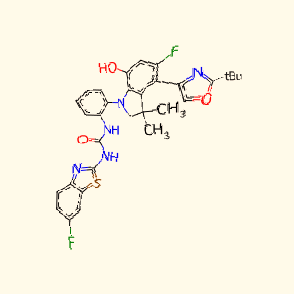 CC(C)(C)c1nc(-c2c(F)cc(O)c3c2C(C)(C)CN3c2ccccc2NC(=O)Nc2nc3ccc(F)cc3s2)co1